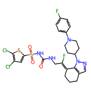 O=C(NCC(F)=C1CCCc2cnn(C3CCN(c4ccc(F)cc4)CC3)c21)NS(=O)(=O)c1cc(Cl)c(Cl)s1